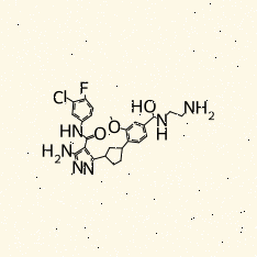 COc1cc(C(O)NCCN)ccc1C1CCC(c2nn(C)c(N)c2C(=O)Nc2ccc(F)c(Cl)c2)C1